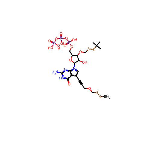 BSSCOCC#Cc1cn(C2OC(COP(=O)(O)OP(=O)(O)OP(=O)(O)O)C(OCSSC(C)(C)C)C2O)c2nc(N)[nH]c(=O)c12